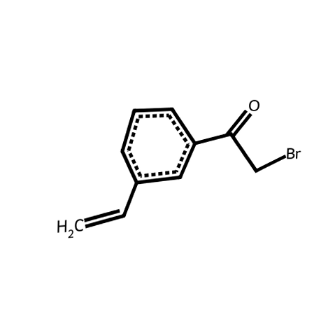 C=Cc1cccc(C(=O)CBr)c1